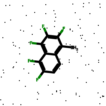 Bc1c(F)c(F)c(F)c2c(F)c(F)ccc12